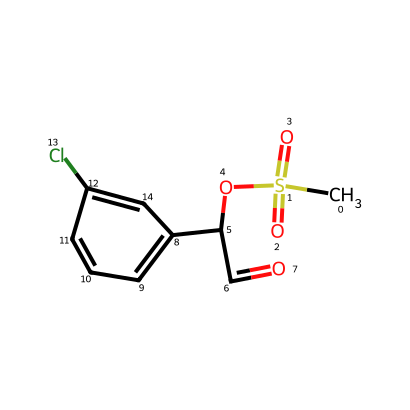 CS(=O)(=O)OC(C=O)c1cccc(Cl)c1